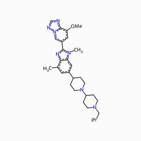 COc1cc(-c2nc3c(C)cc(C4CCN(C5CCN(CC(C)C)CC5)CC4)cc3n2C)cn2ncnc12